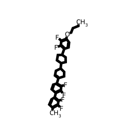 CCCCOc1ccc(C2CCC(C3CC=C(c4ccc(-c5ccc(C)c(F)c5F)c(F)c4F)CC3)CC2)c(F)c1F